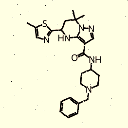 Cc1cnc(C2CC(C)(C)n3ncc(C(=O)NC4CCN(Cc5ccccc5)CC4)c3N2)s1